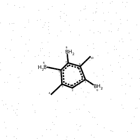 Bc1cc(C)c(B)c(B)c1C